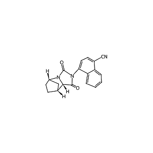 N#Cc1ccc(N2C(=O)[C@@H]3[C@@H]4CC[C@@H](C4)N3C2=O)c2ccccc12